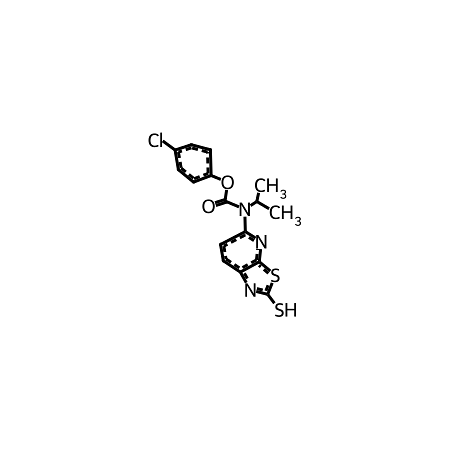 CC(C)N(C(=O)Oc1ccc(Cl)cc1)c1ccc2nc(S)sc2n1